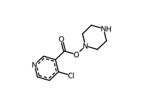 O=C(ON1CCNCC1)c1cnccc1Cl